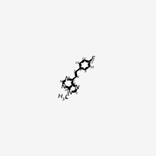 Cn1cnc2c(C=Cc3ccc(F)cc3)ncnc21